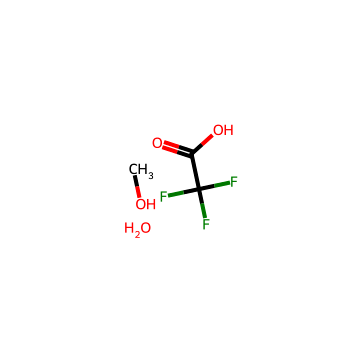 CO.O.O=C(O)C(F)(F)F